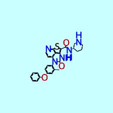 Cc1cc(Oc2ccccc2)ccc1N1C(=O)Nc2c(C(=O)N[C@H]3CCCNC3)sc3nccc1c23